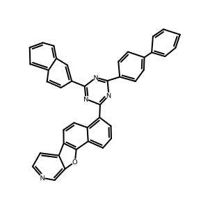 c1ccc(-c2ccc(-c3nc(-c4ccc5ccccc5c4)nc(-c4cccc5c4ccc4c6ccncc6oc54)n3)cc2)cc1